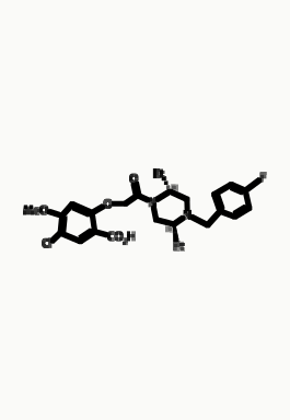 CC[C@H]1CN(C(=O)COc2cc(OC)c(Cl)cc2C(=O)O)[C@H](CC)CN1Cc1ccc(F)cc1